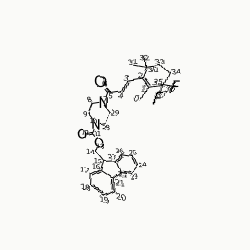 CC1=C(C=CC(=O)N2CCN(C(=O)OCC3c4ccccc4-c4ccccc43)CC2)C(C)(C)CCC1(F)F